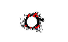 C/C=C/C[C@@H](C)C(O)C1C(=O)N[C@@H](CC)C(=O)N(C)[C@H](CCCN2CCOCC2)C(=O)N(C)[C@@H]([C@H](C)CS(C)(=O)=O)C(=O)N[C@@H](C(C)C)C(=O)N(C)[C@@H](CC(C)C)C(=O)N[C@@H](C)C(=O)N[C@H](C)C(=O)N(C)[C@@H](CC(C)C)C(=O)N(C)[C@@H](CC(C)C)C(=O)N(C)[C@@H](C(C)C)C(=O)N1C